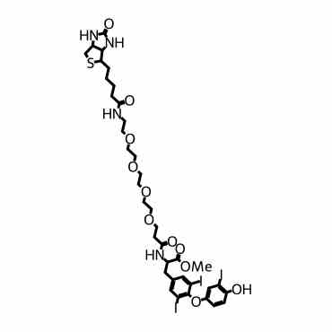 COC(=O)C(Cc1cc(I)c(Oc2ccc(O)c(I)c2)c(I)c1)NC(=O)CCOCCOCCOCCOCCNC(=O)CCCCC1SCC2NC(=O)NC21